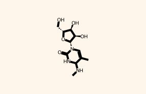 CNC1NC(=O)N([C@@H]2O[C@H](CO)[C@@H](O)[C@H]2O)C=C1C